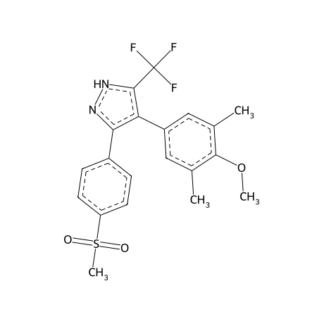 COc1c(C)cc(-c2c(-c3ccc(S(C)(=O)=O)cc3)n[nH]c2C(F)(F)F)cc1C